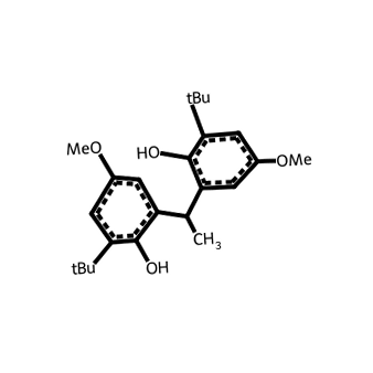 COc1cc(C(C)c2cc(OC)cc(C(C)(C)C)c2O)c(O)c(C(C)(C)C)c1